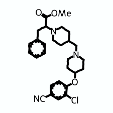 COC(=O)C(Cc1ccccc1)N1CCC(CN2CCC(Oc3ccc(C#N)cc3Cl)CC2)CC1